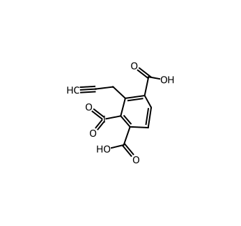 C#CCc1c(C(=O)O)ccc(C(=O)O)c1I(=O)=O